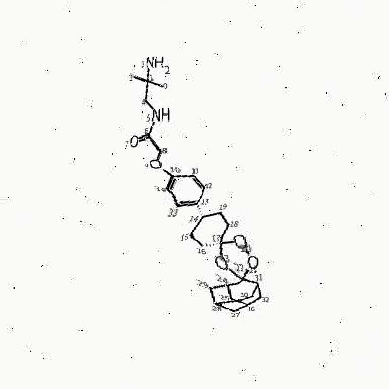 CC(C)(N)CNC(=O)COc1ccc([C@H]2CC[C@]3(CC2)OO[C@]2(O3)C3CC4CC(C3)CC2C4)cc1